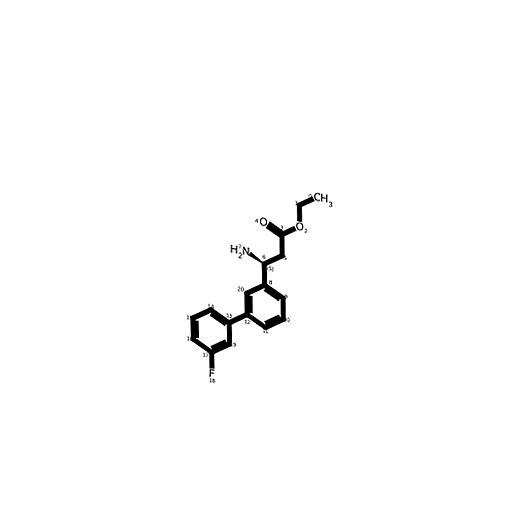 CCOC(=O)C[C@H](N)c1cccc(-c2cccc(F)c2)c1